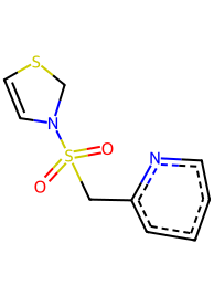 O=S(=O)(Cc1ccccn1)N1C=CSC1